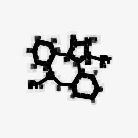 CC(C)B1Cc2ccccc2-c2c(nnn2C(C)C)-c2ccccc21